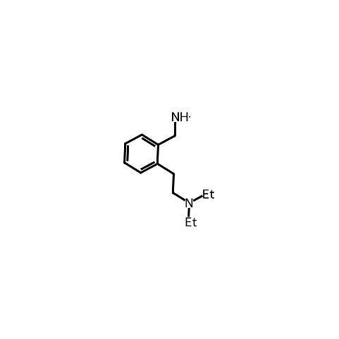 CCN(CC)CCc1ccccc1C[NH]